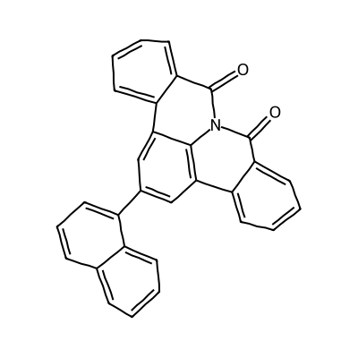 O=c1c2ccccc2c2cc(-c3cccc4ccccc34)cc3c4ccccc4c(=O)n1c23